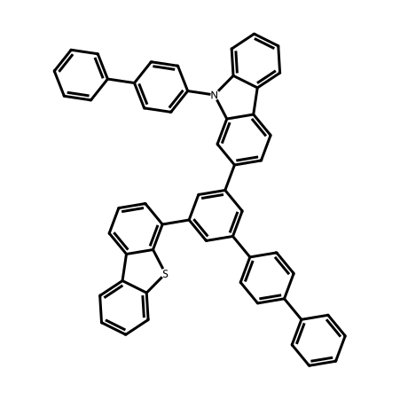 c1ccc(-c2ccc(-c3cc(-c4ccc5c6ccccc6n(-c6ccc(-c7ccccc7)cc6)c5c4)cc(-c4cccc5c4sc4ccccc45)c3)cc2)cc1